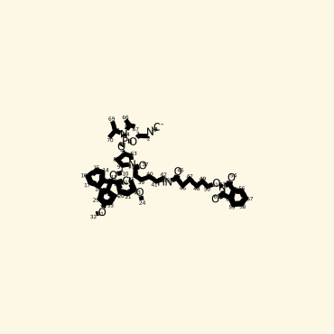 [C-]#[N+]CCOP(O[C@@H]1C[C@@H](COC(c2ccccc2)(c2ccc(OC)cc2)c2ccc(OC)cc2)N(C(=O)CCCCCNC(=O)CCCCCON2C(=O)c3ccccc3C2=O)C1)N(C(C)C)C(C)C